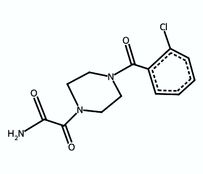 NC(=O)C(=O)N1CCN(C(=O)c2ccccc2Cl)CC1